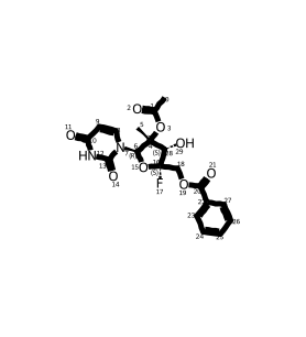 CC(=O)O[C@@]1(C)[C@H](n2ccc(=O)[nH]c2=O)O[C@](F)(COC(=O)c2ccccc2)[C@H]1O